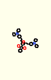 O=C1C(=C2C=C(C=Cc3ccc(N(c4ccccc4)c4ccccc4)cc3)OC(C=Cc3ccc(N(c4ccccc4)c4ccccc4)cc3)=C2)C(=O)c2ccccc21